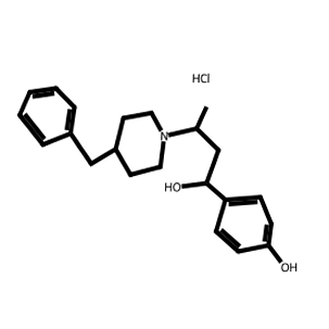 CC(CC(O)c1ccc(O)cc1)N1CCC(Cc2ccccc2)CC1.Cl